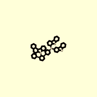 c1ccc(-c2cccc(-c3ccc(N(c4ccc5oc6ccccc6c5c4)c4cccc5c4sc4ccccc45)cc3)c2-n2c3ccccc3c3c4ccccc4ccc32)cc1